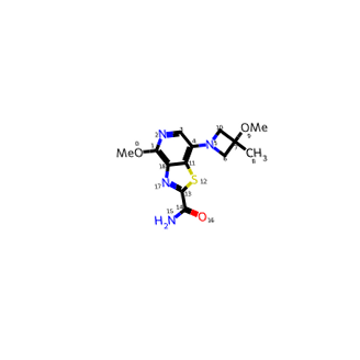 COc1ncc(N2CC(C)(OC)C2)c2sc(C(N)=O)nc12